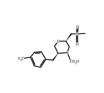 CS(=O)(=O)C[C@H]1CN(C(=O)O)[C@@H](Cc2ccc(C(F)(F)F)cc2)CO1